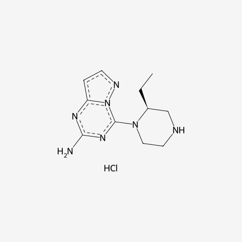 CC[C@H]1CNCCN1c1nc(N)nc2ccnn12.Cl